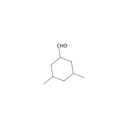 CC1CC(C)CC([C]=O)C1